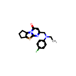 CCN(Cc1cc(=O)n2c3c(sc2n1)CCC3)c1ccc(F)cc1